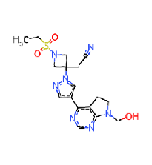 CCS(=O)(=O)N1CC(CC#N)(n2cc(-c3ncnc4c3CCN4CO)cn2)C1